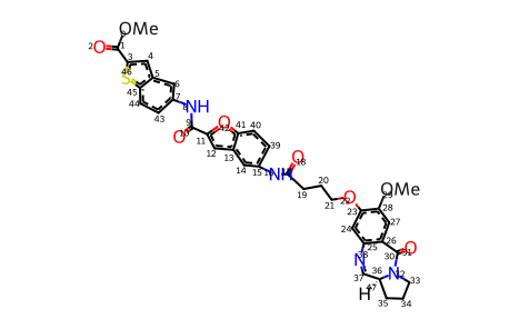 COC(=O)c1cc2cc(NC(=O)c3cc4cc(NC(=O)CCCOc5cc6c(cc5OC)C(=O)N5CCC[C@H]5C=N6)ccc4o3)ccc2s1